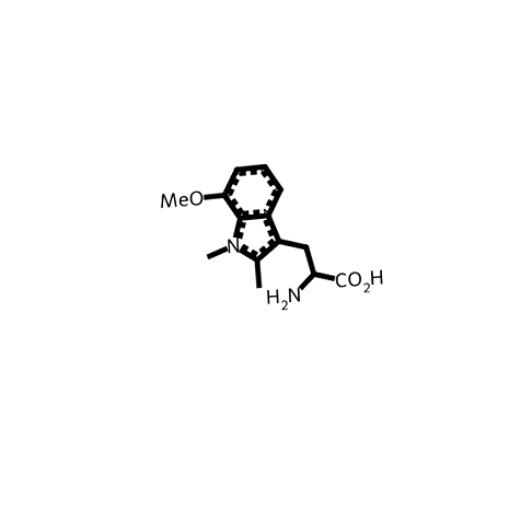 COc1cccc2c(CC(N)C(=O)O)c(C)n(C)c12